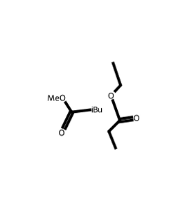 CCC(C)C(=O)OC.CCOC(=O)CC